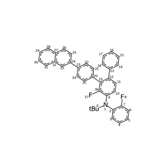 CC(C)(C)N(c1ccccc1F)c1ccc(-c2ccccc2)c(-c2ccc(-c3ccc4ccccc4c3)cc2)c1F